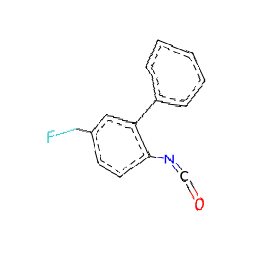 O=C=Nc1ccc(F)cc1-c1ccccc1